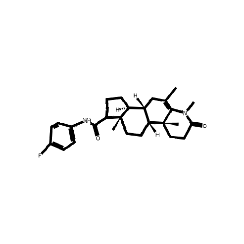 CC1=C2N(C)C(=O)CC[C@]2(C)[C@@H]2CC[C@]3(C)C(C(=O)Nc4ccc(F)cc4)CC[C@H]3[C@@H]2C1